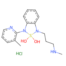 CNCCCN1c2ccccc2N(c2ncccc2C)S1(O)O.Cl